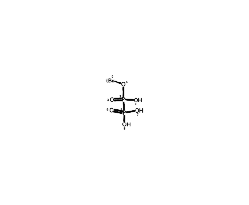 CC(C)(C)OP(=O)(O)P(=O)(O)O